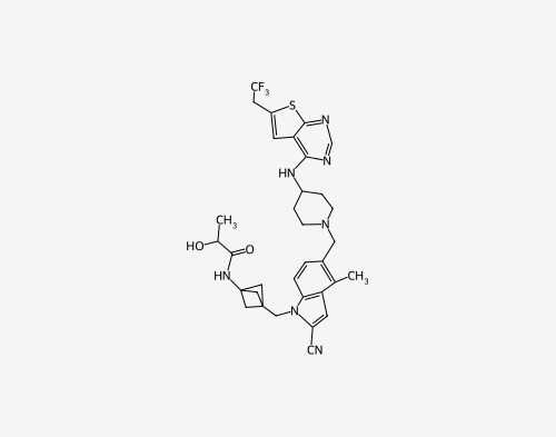 Cc1c(CN2CCC(Nc3ncnc4sc(CC(F)(F)F)cc34)CC2)ccc2c1cc(C#N)n2CC12CC(NC(=O)C(C)O)(C1)C2